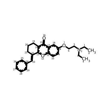 CCN(CC)CCOc1ccc2oc3c(c(=O)c2c1)CCCC3=Cc1ccccc1